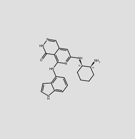 N[C@H]1CCCC[C@H]1Nc1cc2cn[nH]c(=O)c2c(Nc2cccc3[nH]ccc23)n1